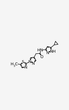 Cc1cnc(-n2cc(CC(=O)Nc3cc(C4CC4)[nH]n3)cn2)s1